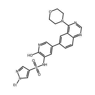 CCn1cc(S(=O)(=O)Nc2cc(-c3ccc4ncnc(N5CCOCC5)c4c3)cnc2O)cn1